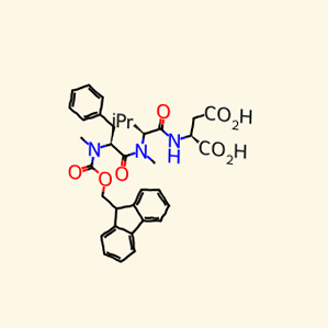 CC(C)[C@@H](C(=O)N[C@@H](CC(=O)O)C(=O)O)N(C)C(=O)[C@H](Cc1ccccc1)N(C)C(=O)OCC1c2ccccc2-c2ccccc21